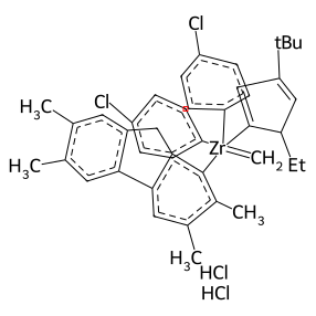 Cl.Cl.[CH2]=[Zr]([C]1=CC(C(C)(C)C)=CC1CC)([c]1ccc(Cl)cc1)([c]1ccc(Cl)cc1)[c]1c(C)c(C)cc2c1Cc1cc(C)c(C)cc1-2